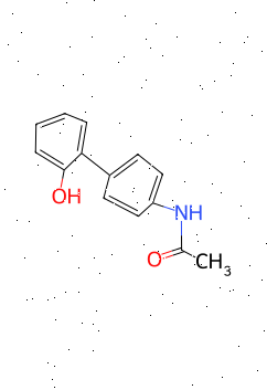 CC(=O)Nc1ccc(-c2ccccc2O)cc1